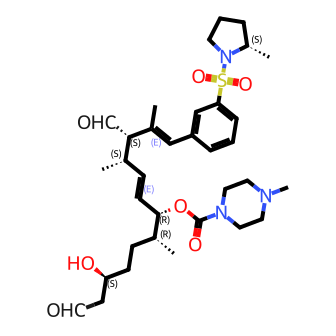 C/C(=C\c1cccc(S(=O)(=O)N2CCC[C@@H]2C)c1)[C@@H](C=O)[C@@H](C)/C=C/[C@H](OC(=O)N1CCN(C)CC1)[C@H](C)CC[C@H](O)CC=O